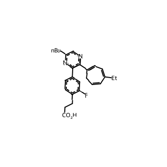 CCCCc1cnc(C2=CC=C(CC)C=CC2)c(-c2ccc(CCC(=O)O)c(F)c2)n1